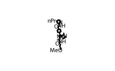 CCCc1ccnc(NC(=O)c2ccc(-c3nc([C@H](C)NC(=O)C=CCOC)n4ccnc(C)c34)cc2)c1